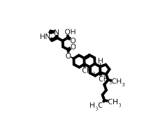 CC(C)CCCC(C)C1CC[C@@H]2C3CC=C4C[C@H](OC(=O)CC(C(=O)O)c5c[nH]cn5)CCC4(C)C3CCC12C